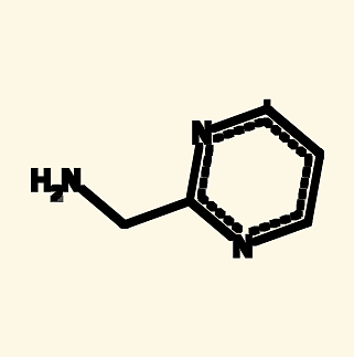 NCc1n[c]ccn1